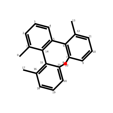 Cc1cc[c]c(-c2c(C)cccc2C)c1-c1c(C)cccc1C